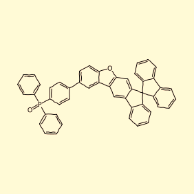 O=P(c1ccccc1)(c1ccccc1)c1ccc(-c2ccc3oc4cc5c(cc4c3c2)-c2ccccc2C52c3ccccc3-c3ccccc32)cc1